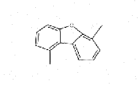 Cc1cccc2c1oc1cccc(C)c12